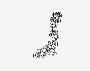 C=C(C)[C@@H]1CC[C@]2(C(=O)NCCc3cccc(C(=O)NCc4ccc(C(=O)N[C@H](Cc5c[nH]cn5)C(=O)OC)cc4)c3)CC[C@]3(C)C(CCC4[C@@]5(C)CC[C@H](O)C(C)(C)C5CC[C@]43C)C12